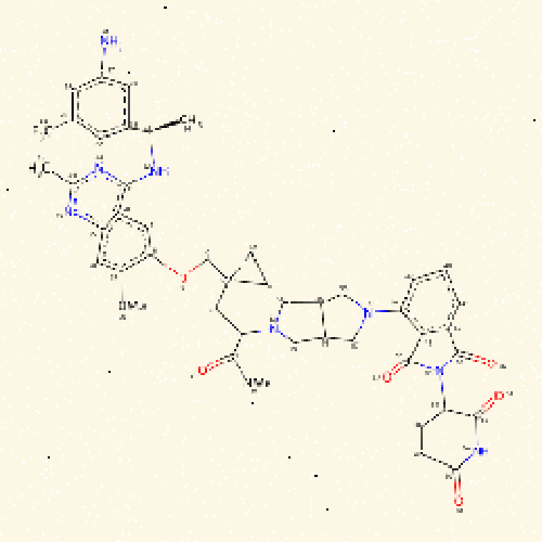 CNC(=O)C(CC1(COc2cc3c(N[C@H](C)c4cc(N)cc(C(F)(F)F)c4)nc(C)nc3cc2OC)CC1)N1CC2CN(c3cccc4c3C(=O)N(C3CCC(=O)NC3=O)C4=O)CC2C1